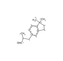 CC(C=O)Cc1ccc2c(c1)CCC2(C)C